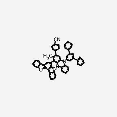 Cc1c(-c2ccc(C#N)cc2)cc2c3c1-c1cc4c5ccccc5oc4c4c5ccccc5n(c14)B3c1ccccc1N2c1cc(-c2ccccc2)cc(-c2ccccc2)c1